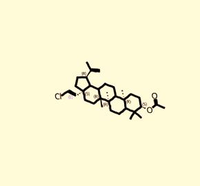 C=C(C)[C@@H]1CC[C@]2(/C=C/Cl)CC[C@]3(C)C(CCC4[C@@]5(C)CC[C@H](OC(C)=O)C(C)(C)C5CC[C@]43C)C12